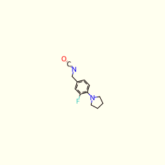 O=C=NCc1ccc(N2CCCC2)c(F)c1